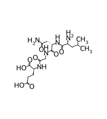 CC(C)C[C@H](N)C(=O)N[C@@H](CC(N)=O)C(=O)NCC(=O)N[C@@H](CCC(=O)O)C(=O)O